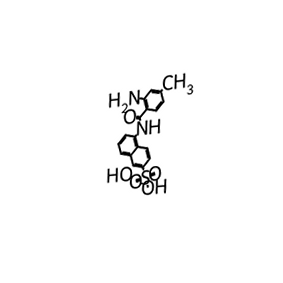 Cc1ccc(C(=O)Nc2cccc3c(O)c(S(=O)(=O)O)ccc23)c(N)c1